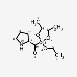 CCO[Si](OCC)(OCC)C(=O)[C@@H]1CCCN1